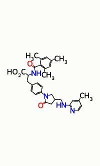 Cc1ccnc(NCC2CC(=O)N(c3ccc(CC(NC(=O)c4c(C)cc(C)cc4C)C(=O)O)cc3)C2)c1